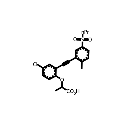 CCCS(=O)(=O)c1ccc(C)c(C#Cc2cc(Cl)ccc2OC(C)C(=O)O)c1